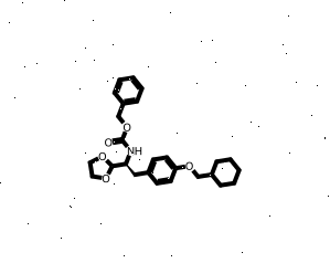 O=C(N[C@@H](Cc1ccc(OCC2CCCCC2)cc1)C1OCCO1)OCc1ccccc1